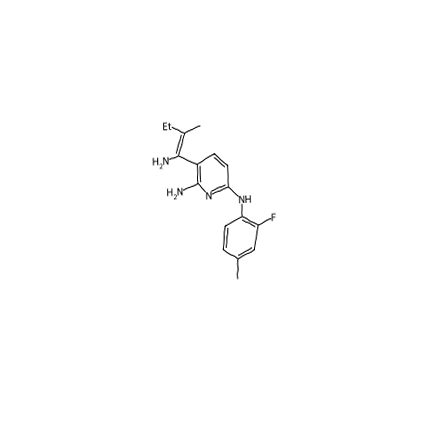 CC/C(C)=C(\N)c1ccc(Nc2ccc(C)cc2F)nc1N